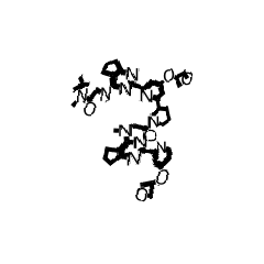 CN(CC(=O)N1CCCC(c2cc(OC3COC3)cc(-c3nc4c(c(N(C)CC(=O)N(C)C(C)(C)C)n3)CCC4)n2)C1)c1nc(-c2cc(OC3COC3)ccn2)nc2c1CCC2